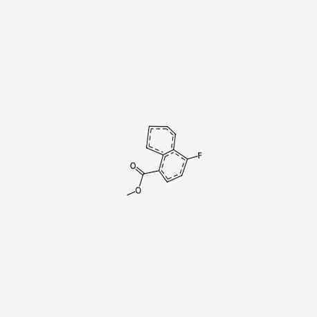 COC(=O)c1ccc(F)c2ccccc12